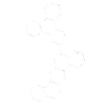 c1cnc2c(c1)ccc1cc3c(nc(-c4ccc5c6ccccc6c6ccccc6c5c4)c4ccccc43)nc12